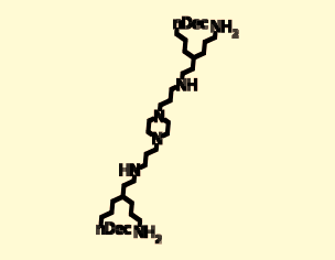 CCCCCCCCCCCCCC(CCCN)CCNCCCN1CCN(CCCNCCC(CCCN)CCCCCCCCCCCCC)CC1